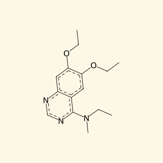 CCOc1cc2ncnc(N(C)CC)c2cc1OCC